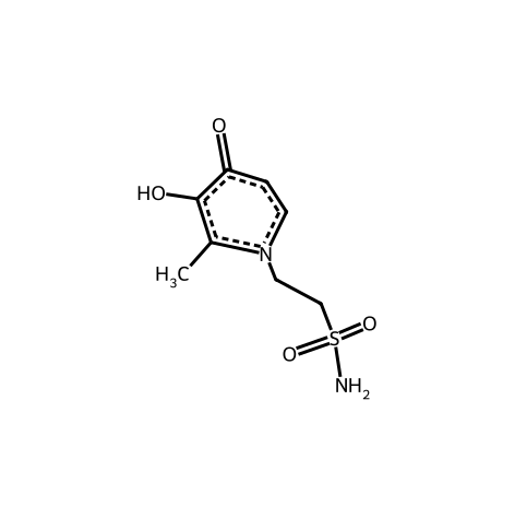 Cc1c(O)c(=O)ccn1CCS(N)(=O)=O